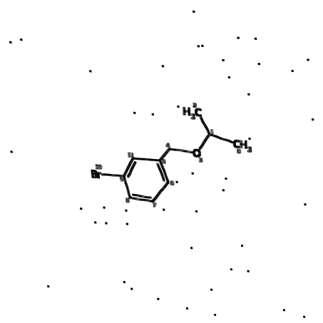 CC(C)OCc1cccc(Br)c1